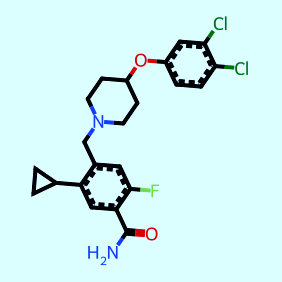 NC(=O)c1cc(C2CC2)c(CN2CCC(Oc3ccc(Cl)c(Cl)c3)CC2)cc1F